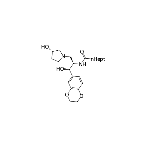 CCCCCCCC(=O)N[C@H](CN1CC[C@H](O)C1)[C@H](O)c1ccc2c(c1)OCCO2